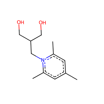 Cc1cc(C)[n+](CC(CO)CO)c(C)c1